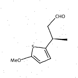 COc1ccc([C@H](C)CC=O)s1